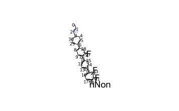 C/C=C/C1CC=C(C2=CC=C(C3=CC=C(C4=CC=C(CCCCCCCCC)C(F)C4F)CC3)C(F)C2)CC1